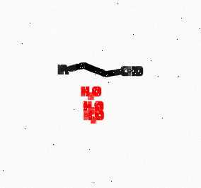 CC(C)CCC=O.O.O.O